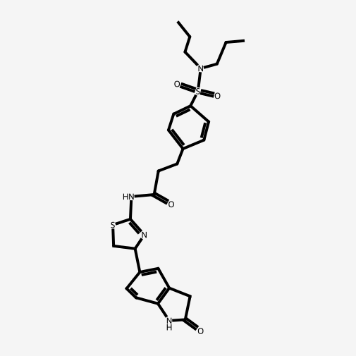 CCCN(CCC)S(=O)(=O)c1ccc(CCC(=O)NC2=NC(c3ccc4c(c3)CC(=O)N4)CS2)cc1